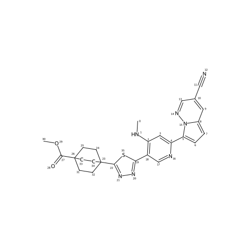 CNc1cc(-c2ccc3cc(C#N)cnn23)ncc1-c1nnc(C23CCC(C(=O)OC)(CC2)CC3)s1